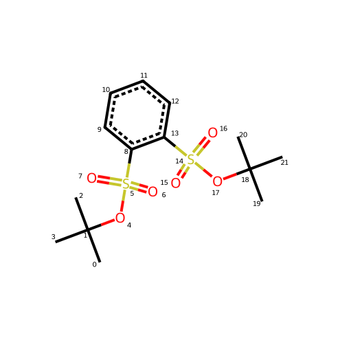 CC(C)(C)OS(=O)(=O)c1ccccc1S(=O)(=O)OC(C)(C)C